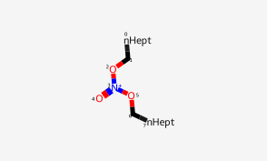 CCCCCCCCO[N+](=O)OCCCCCCCC